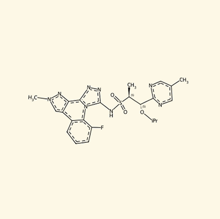 Cc1cnc([C@H](OC(C)C)[C@H](C)S(=O)(=O)Nc2nnc3c4nn(C)cc4c4cccc(F)c4n23)nc1